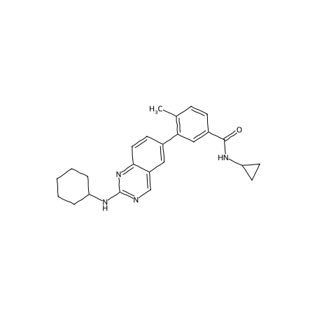 Cc1ccc(C(=O)NC2CC2)cc1-c1ccc2nc(NC3CCCCC3)ncc2c1